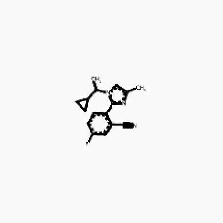 Cc1cn(C(C)C2CC2)c(-c2ccc(F)cc2C#N)n1